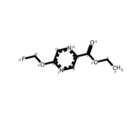 CCOC(=O)c1cnc(OCF)cn1